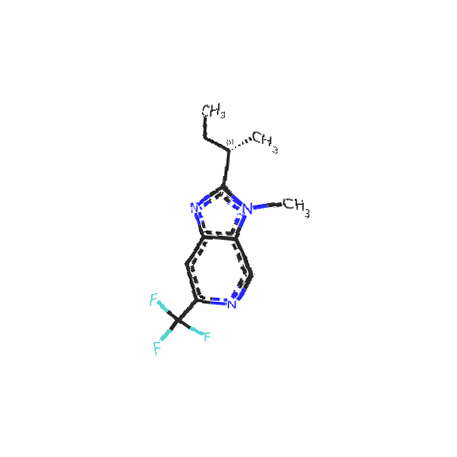 CC[C@H](C)c1nc2cc(C(F)(F)F)ncc2n1C